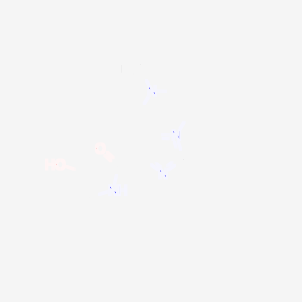 CN1CCn2c(-c3ccccc3)nc(C(=O)NC3(CO)CCCC3)c2C1